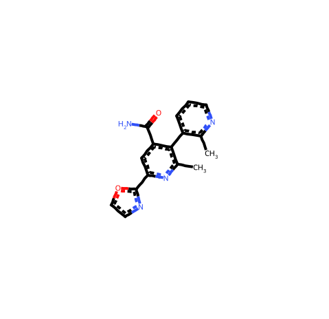 Cc1ncccc1-c1c(C(N)=O)cc(-c2ncco2)nc1C